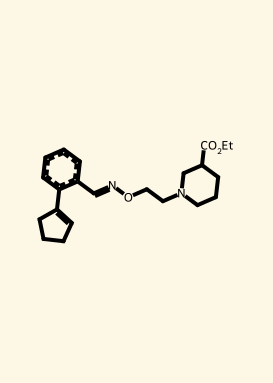 CCOC(=O)C1CCCN(CCON=Cc2ccccc2C2=CCCC2)C1